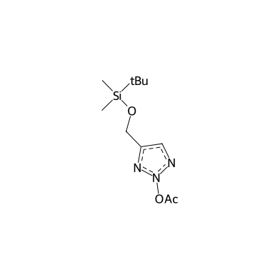 CC(=O)On1ncc(CO[Si](C)(C)C(C)(C)C)n1